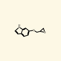 c1cc2ccc(OCC3CO3)cc2[nH]1